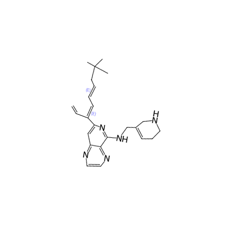 C=C/C(=C\C=C\CC(C)(C)C)c1cc2nccnc2c(NCC2=CCCNC2)n1